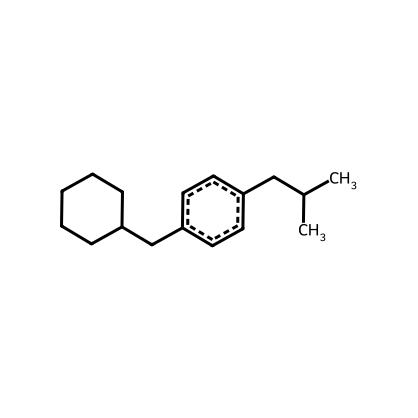 CC(C)Cc1ccc(CC2CCCCC2)cc1